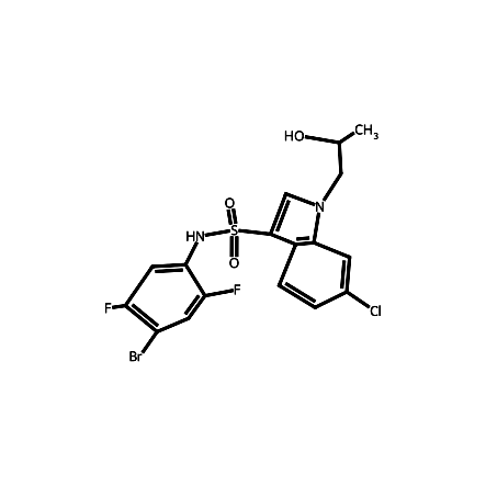 CC(O)Cn1cc(S(=O)(=O)Nc2cc(F)c(Br)cc2F)c2ccc(Cl)cc21